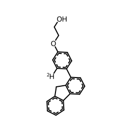 [2H]c1cc(OCCO)ccc1-c1cccc2c1Cc1ccccc1-2